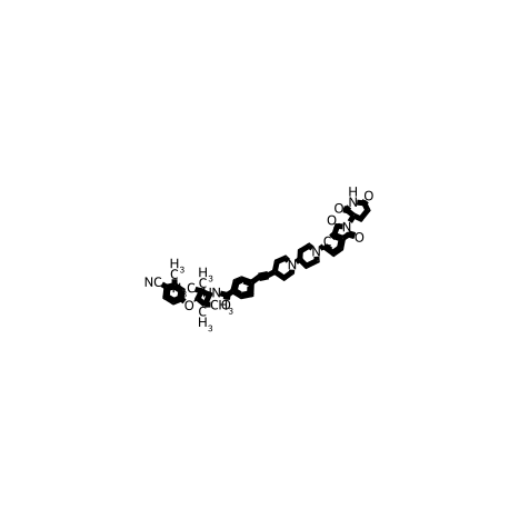 Cc1cc(O[C@H]2C(C)(C)[C@H](NC(=O)c3ccc(C#CC4CCN(C5CCN(c6ccc7c(c6)C(=O)N(C6CCC(=O)NC6=O)C7=O)CC5)CC4)cc3)C2(C)C)ccc1C#N